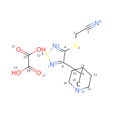 N#CCSc1nsnc1C1CN2CCC1CC2.O=C(O)C(=O)O